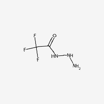 NNNC(=O)C(F)(F)F